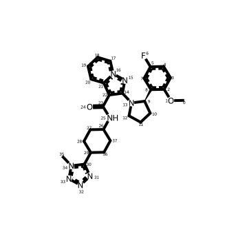 COc1ccc(F)cc1[C@H]1CCCN1c1nn2ccccc2c1C(=O)NC1CCC(c2nnnn2C)CC1